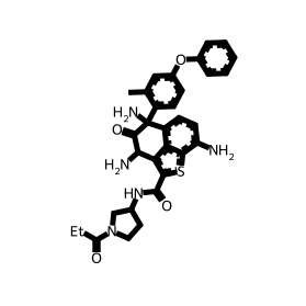 CCC(=O)N1CCC(NC(=O)c2sc3c(N)ccc4c3c2C(N)C(=O)C4(N)c2ccc(Oc3ccccc3)cc2C)C1